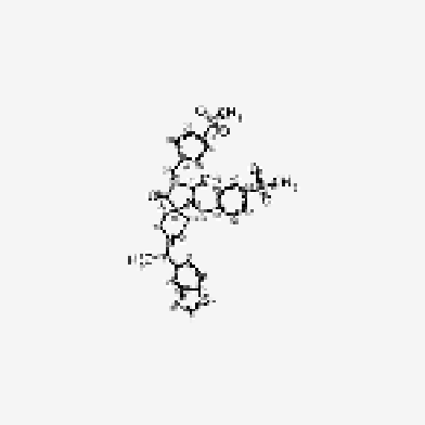 CC(c1ccc2scnc2c1)N1CCC2(CC1)C(=O)N(Cc1ccc(S(C)(=O)=O)cc1)C(O)N2Cc1ccc(S(C)(=O)=O)cc1